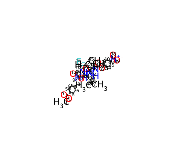 COC(=O)c1ccc(CCNC(=O)[C@H](CC(F)F)NC(=O)[C@@H]2C3C(CN2C(=O)[C@@H](NC(=O)Oc2ccc([N+](=O)[O-])cc2)C(C)(C)C)C3(C)C)cc1